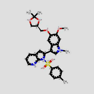 COc1cc2c(cc1OC[C@H]1COC(C)(C)O1)c(-c1cc3cccnc3n1S(=O)(=O)c1ccc(C)cc1)cn2C